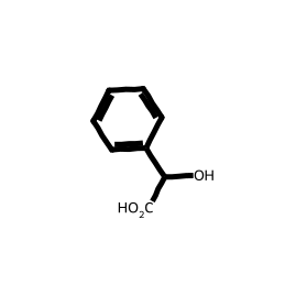 O=C(O)[C](O)c1ccccc1